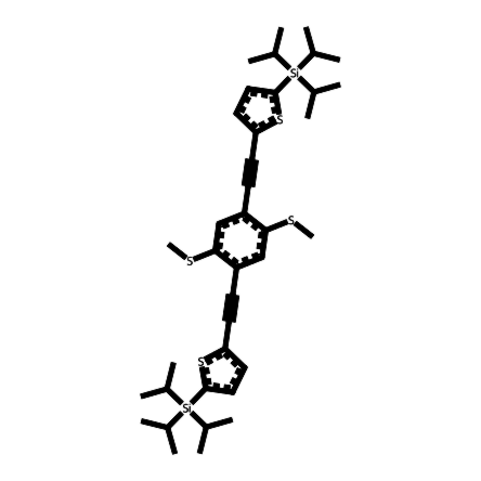 CSc1cc(C#Cc2ccc([Si](C(C)C)(C(C)C)C(C)C)s2)c(SC)cc1C#Cc1ccc([Si](C(C)C)(C(C)C)C(C)C)s1